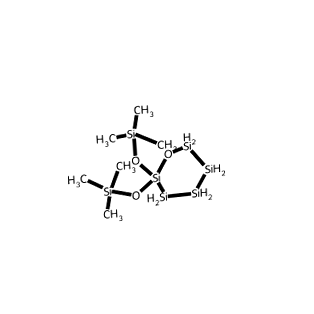 C[Si](C)(C)O[Si]1(O[Si](C)(C)C)O[SiH2][SiH2][SiH2][SiH2]1